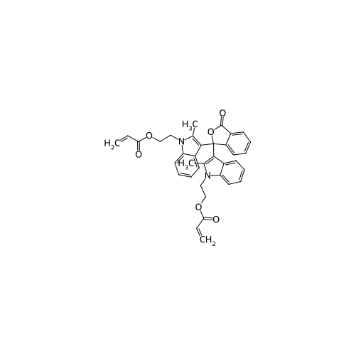 C=CC(=O)OCCn1c(C)c(C2(c3c(C)n(CCOC(=O)C=C)c4ccccc34)OC(=O)c3ccccc32)c2ccccc21